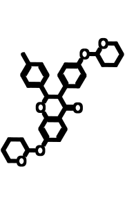 Cc1ccc(C2Oc3cc(OC4CCCCO4)ccc3C(=O)C2c2ccc(OC3CCCCO3)cc2)cc1